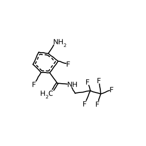 C=C(NCC(F)(F)C(F)(F)F)c1c(F)ccc(N)c1F